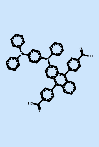 O=C(O)c1ccc(-c2c3ccccc3c(-c3ccc(C(=O)O)cc3)c3cc(N(c4ccccc4)c4ccc(N(c5ccccc5)c5ccccc5)cc4)ccc23)cc1